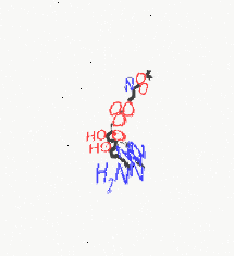 CC(C)OC(=O)C(CCOC(=O)OC[C@H]1O[C@@](C#N)(c2ccc3c(N)ncnn23)[C@H](O)[C@@H]1O)N(C)C